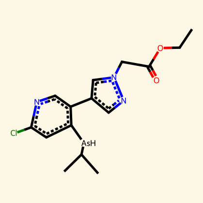 CCOC(=O)Cn1cc(-c2cnc(Cl)cc2[AsH]C(C)C)cn1